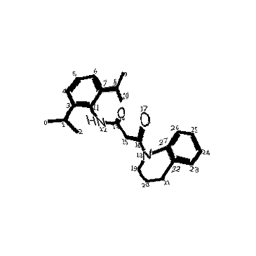 CC(C)c1cccc(C(C)C)c1NC(=O)CC(=O)N1CCCc2ccccc21